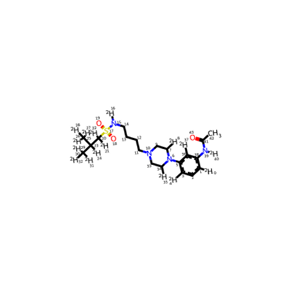 [2H]c1cc([2H])c(N2C([2H])CN(CCCCN([2H])S(=O)(=O)C([2H])([2H])C([2H])(C([2H])([2H])[2H])C([2H])([2H])[2H])CC2[2H])c([2H])c1N([2H])C(C)=O